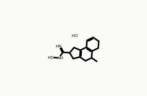 CC1CC2=C(CC(C(=N)NO)C2)C2=C1CCC=C2.Cl